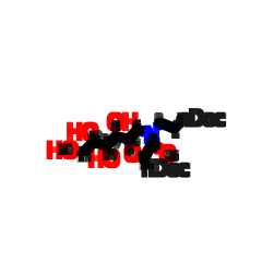 CCCCCCCCCCCCN(CC(=O)[C@@H](O)[C@@H](O)[C@H](O)CO)C(=O)CCCCCCCCCCC